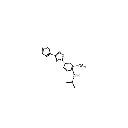 CC(C)Nc1ccc(-c2nc(-c3cccs3)co2)cc1N